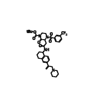 C=C(CN1CCCCC1)c1ccc2c(c1)CCC[C@H]2NC(=O)CC1C(=O)N(C(=O)OC(C)(C)C)CCN1S(=O)(=O)c1cccc(C(F)(F)F)c1